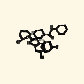 O=C(NC1CCCCC1)N1CC[C@@H](C2C=CC=C(Cl)C2)[C@]2(C(=O)Nc3cc(Cl)ccc32)[C@H]1c1cccc(F)c1